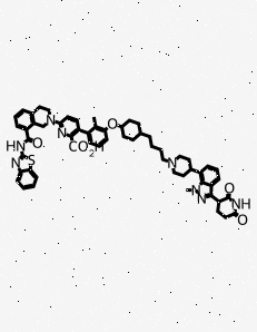 Cc1c(OC2CCC(CCCCN3CCC(c4cccc5c(C6CCC(=O)NC6=O)nn(C)c45)CC3)CC2)cccc1-c1ccc(N2CCc3cccc(C(=O)Nc4nc5ccccc5s4)c3C2)nc1C(=O)O